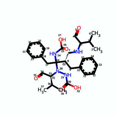 CC(C)C(C=O)NC[C@H](Cc1ccccc1)C(Cc1ccccc1)(NC(=O)O)N(NC(=O)O)[C@H](C=O)C(C)C